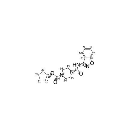 O=C(Nc1noc2ccccc12)N1CCN(C(=O)OC2CCCC2)CC1